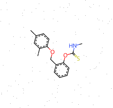 CNC(=S)Oc1ccccc1COc1ccc(C)cc1C